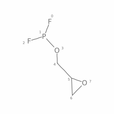 FP(F)OCC1CO1